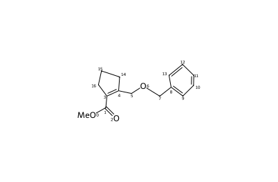 COC(=O)C1=C(COCc2ccccc2)CCC1